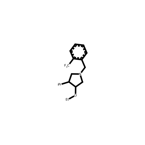 CCOC1CN(Cc2ccccc2C(F)(F)F)CC1C(C)C